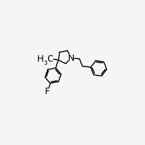 CC1(c2ccc(F)cc2)CCN(CCc2ccccc2)C1